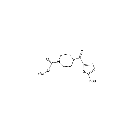 CCCCc1ccc(C(=O)C2CCN(C(=O)OC(C)(C)C)CC2)s1